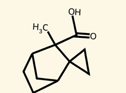 CC1(C(=O)O)C2CCC(C2)C12CC2